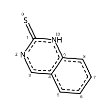 S=c1ncc2ccccc2[nH]1